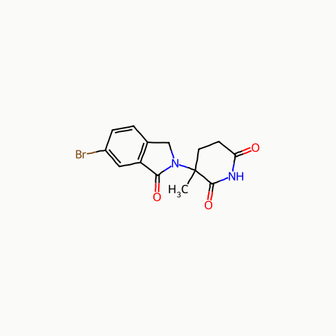 CC1(N2Cc3ccc(Br)cc3C2=O)CCC(=O)NC1=O